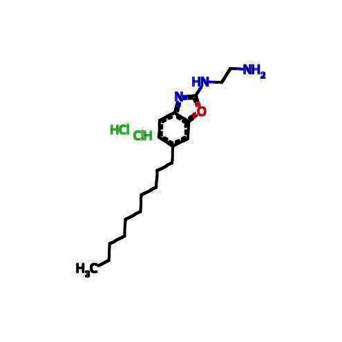 CCCCCCCCCCc1ccc2nc(NCCN)oc2c1.Cl.Cl